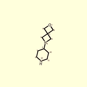 C1CC(N2CC3(COC3)C2)CCN1